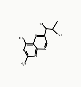 CC(O)C(O)c1cnc2nc(N)nc(N)c2n1